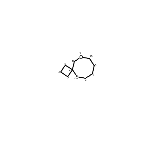 C1CCSC2(CCC2)COC1